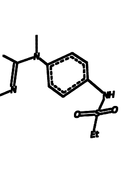 CCS(=O)(=O)Nc1ccc(N(C)C(C)=NC)cc1